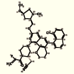 C=C(F)C(=O)N1CCN(c2nc(OC[C@H]3C[C@@H](OC)CN3C)nc3cc(-c4cccc5cccc(Cl)c45)c4c(c23)OCCC4)C[C@@H]1CC#N